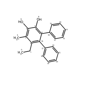 CCc1c(C)c(O)c(O)c(-c2ccccc2)c1-c1ccccc1